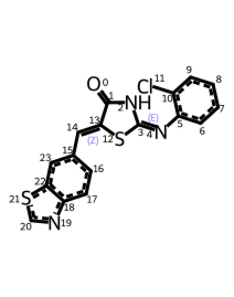 O=C1N/C(=N\c2ccccc2Cl)S/C1=C\c1ccc2ncsc2c1